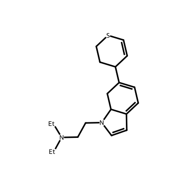 CCN(CC)CCN1C=CC2=CC=C(C3C=CSCC3)CC21